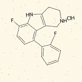 Cl.Fc1ccccc1-c1ccc(F)c2[nH]c3c(c12)CNCC3